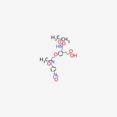 Cc1oc(-c2ccc(N3CCOCC3)cc2)nc1CCOc1ccc(CCC(=O)O)c(CNC(=O)OC(C)C)c1